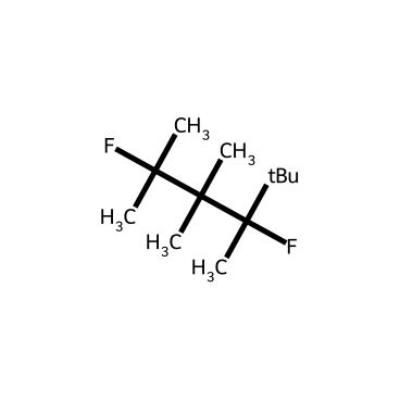 CC(C)(C)C(C)(F)C(C)(C)C(C)(C)F